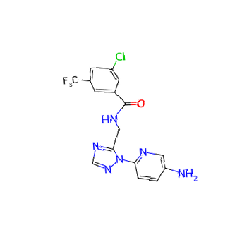 Nc1ccc(-n2ncnc2CNC(=O)c2cc(Cl)cc(C(F)(F)F)c2)nc1